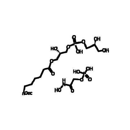 CCCCCCCCCCCCCCCC(=O)OC[C@H](O)COP(=O)(O)OC[C@H](O)CO.O=C(COP(=O)(O)O)NO